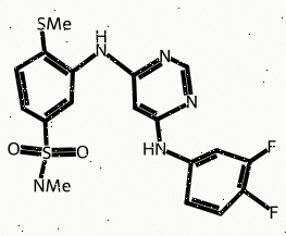 CNS(=O)(=O)c1ccc(SC)c(Nc2cc(Nc3ccc(F)c(F)c3)ncn2)c1